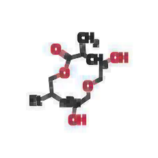 C=C(C)C(=O)OCC(CC)CCCC.OCCOCCO